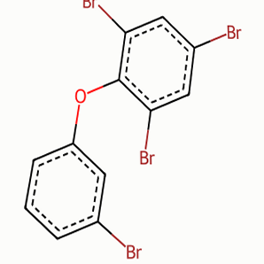 Brc1cccc(Oc2c(Br)cc(Br)cc2Br)c1